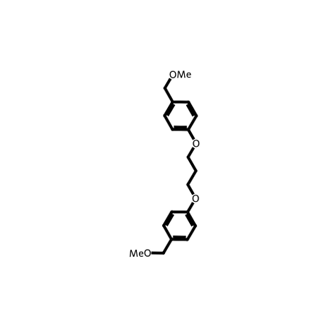 COCc1ccc(OCCCOc2ccc(COC)cc2)cc1